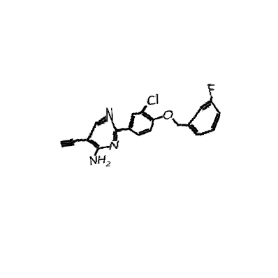 C#Cc1cnc(-c2ccc(OCc3cccc(F)c3)c(Cl)c2)nc1N